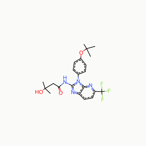 CC(C)(O)CC(=O)Nc1nc2ccc(C(F)(F)F)nc2n1-c1ccc(OC(C)(C)C)cc1